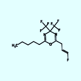 CCCCCC1=NC(C(F)(F)F)(C(F)(F)F)N=C(CC=CF)O1